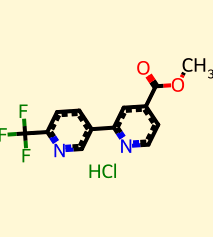 COC(=O)c1ccnc(-c2ccc(C(F)(F)F)nc2)c1.Cl